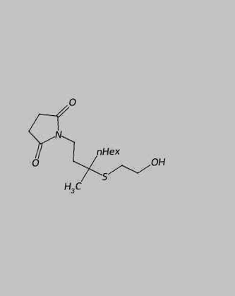 CCCCCCC(C)(CCN1C(=O)CCC1=O)SCCO